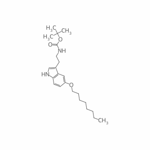 CCCCCCCCOc1ccc2[nH]cc(CCNC(=O)OC(C)(C)C)c2c1